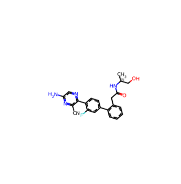 C[C@@H](CO)NC(=O)Cc1ccccc1-c1ccc(-c2ncc(N)nc2C#N)c(F)c1